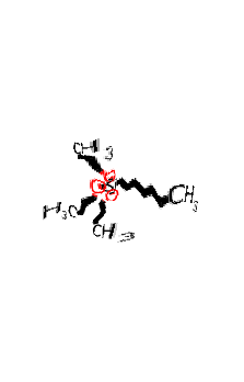 CCCC=CC=C[Si](OCCCC)(OCCCC)OCCCC